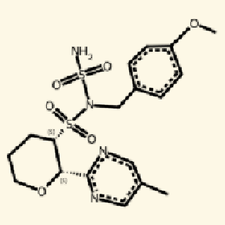 COc1ccc(CN(S(N)(=O)=O)S(=O)(=O)[C@H]2CCCO[C@H]2c2ncc(C)cn2)cc1